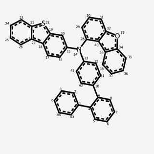 c1ccc(-c2ccccc2-c2ccc(N(c3ccc4c(c3)sc3ccccc34)c3cccc4oc5ccccc5c34)cc2)cc1